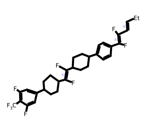 CC/C=C/C(F)=C(\F)c1ccc(C2CCC(/C(F)=C(\F)C3CCC(c4cc(F)c(C(F)(F)F)c(F)c4)CC3)CC2)cc1